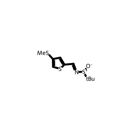 CSc1csc(/C=N/[S+]([O-])C(C)(C)C)c1